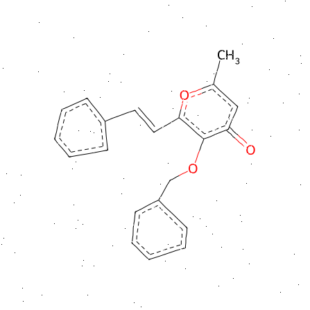 Cc1cc(=O)c(OCc2ccccc2)c(/C=C/c2ccccc2)o1